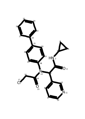 O=C(NC1CC1)C(c1cccnc1)N(C(=O)CCl)c1ccc(-c2ccccc2)cc1